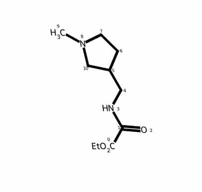 CCOC(=O)C(=O)NCC1CCN(C)C1